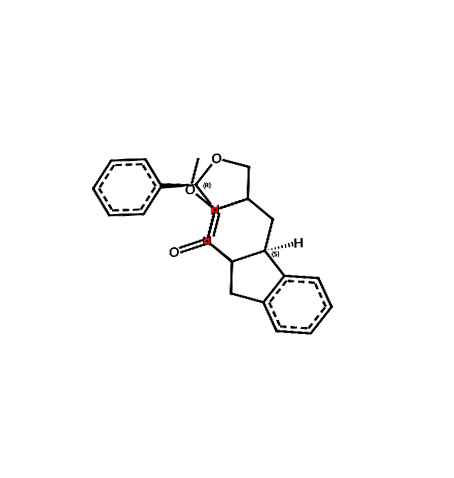 COC1=NC23Cc4ccccc4[C@@H]2CC12CO[C@H](c1ccccc1)N2C3=O